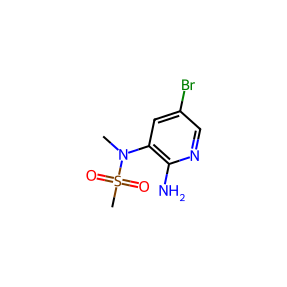 CN(c1cc(Br)cnc1N)S(C)(=O)=O